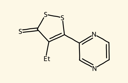 CCc1c(-c2cnccn2)ssc1=S